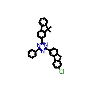 CC1(C)c2ccccc2-c2ccc(-c3nc(-c4ccccc4)nc(-c4ccc5c(c4)-c4ccc(Cl)cc4C5)n3)cc21